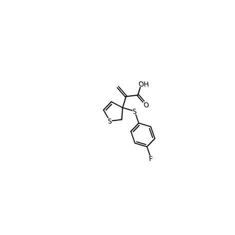 C=C(C(=O)O)C1(Sc2ccc(F)cc2)C=CSC1